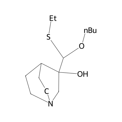 CCCCOC(SCC)C1(O)CN2CCC1CC2